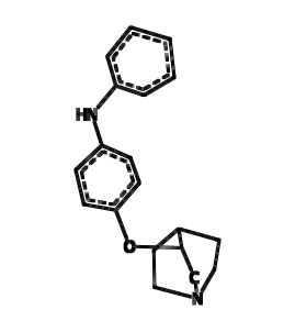 c1ccc(Nc2ccc(OC3CN4CCC3CC4)cc2)cc1